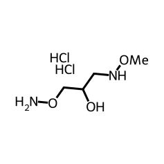 CONCC(O)CON.Cl.Cl